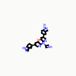 c1cc2[nH]ncc2cc1-c1cnc2c(c1)Oc1cc(-c3ccc4[nH]ncc4c3)cnc1N2C1CNC1